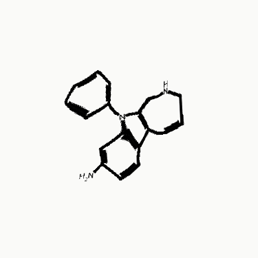 Nc1ccc2c3c(n(-c4ccccc4)c2c1)CNCC=C3